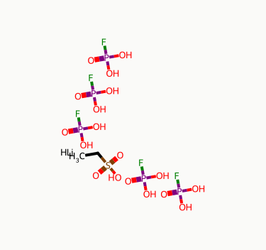 CCS(=O)(=O)O.O=P(O)(O)F.O=P(O)(O)F.O=P(O)(O)F.O=P(O)(O)F.O=P(O)(O)F.[LiH]